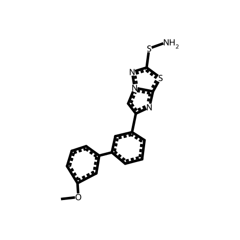 COc1cccc(-c2cccc(-c3cn4nc(SN)sc4n3)c2)c1